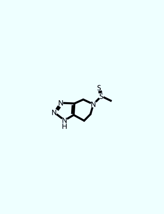 CS(=S)N1CCc2[nH]nnc2C1